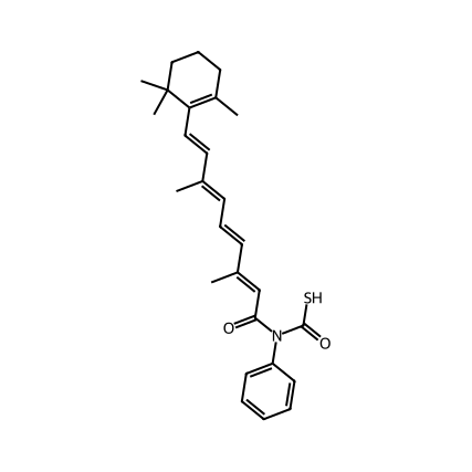 CC1=C(/C=C/C(C)=C/C=C/C(C)=C/C(=O)N(C(=O)S)c2ccccc2)C(C)(C)CCC1